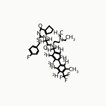 [2H]c1c([2H])c(C([2H])([2H])N(CCN(CC)CC)C(=O)C([2H])([2H])n2c(SCc3ccc(F)cc3)nc(=O)c3c2CCC3)c([2H])c([2H])c1-c1c([2H])c([2H])c(C(F)(F)F)c(C)c1[2H]